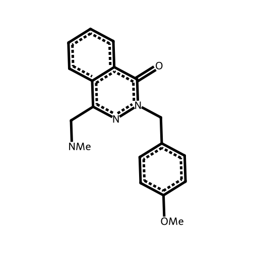 CNCc1nn(Cc2ccc(OC)cc2)c(=O)c2ccccc12